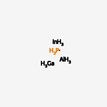 [AlH3].[GaH3].[InH3].[PH2]